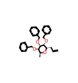 C=CC[C@@H]1O[C@@H](C)[C@@H](OCc2ccccc2)[C@@H](OCc2ccccc2)[C@@H]1OCc1ccccc1